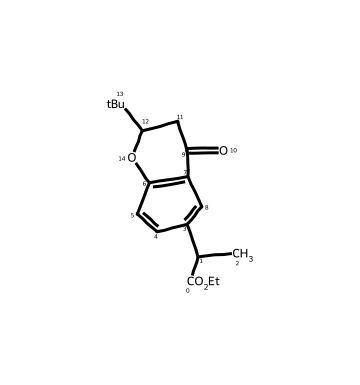 CCOC(=O)C(C)c1ccc2c(c1)C(=O)CC(C(C)(C)C)O2